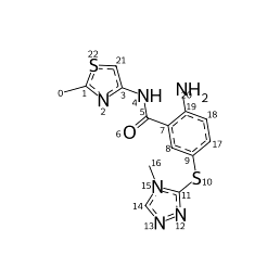 Cc1nc(NC(=O)c2cc(Sc3nncn3C)ccc2N)cs1